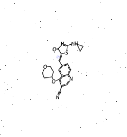 N#Cc1cnc2ccc(/C=C3\SC(NC4CC4)=NC3=O)cc2c1OC1CCOCC1